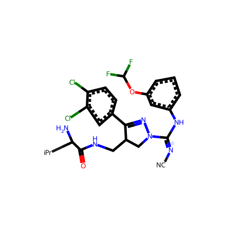 CC(C)C(N)C(=O)NCC1CN(/C(=N\C#N)Nc2cccc(OC(F)F)c2)N=C1c1ccc(Cl)c(Cl)c1